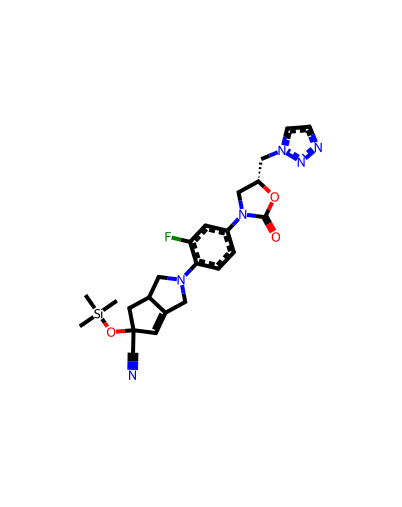 C[Si](C)(C)OC1(C#N)C=C2CN(c3ccc(N4C[C@H](Cn5ccnn5)OC4=O)cc3F)CC2C1